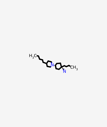 CCCCCC1CCN([C@H]2CC[C@@](C#N)(CCCC)CC2)CC1